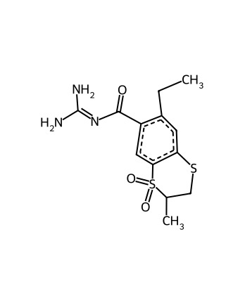 CCc1cc2c(cc1C(=O)N=C(N)N)S(=O)(=O)C(C)CS2